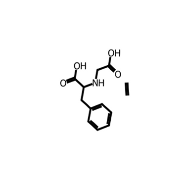 C=C.O=C(O)CNC(Cc1ccccc1)C(=O)O